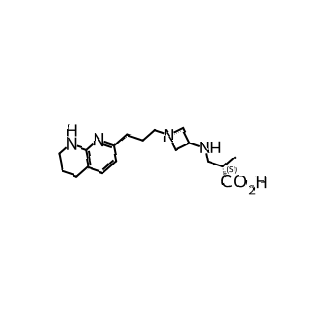 C[C@@H](CNC1CN(CCCc2ccc3c(n2)NCCC3)C1)C(=O)O